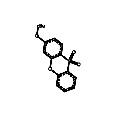 CCCCOc1ccc2c(c1)Oc1ccccc1S2(=O)=O